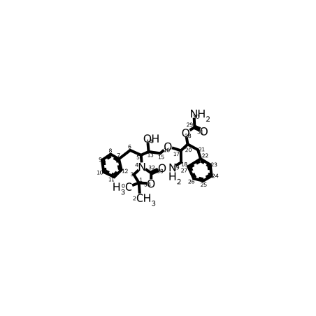 CC1(C)CN(C(Cc2ccccc2)C(O)COC(CN)C(Cc2ccccc2)OC(N)=O)C(=O)O1